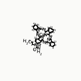 C=CCNC(N)=O.c1ccc2c(c1)C1=NC/2=N\c2c3ccccc3c3[n]2[Cu][n]2/c(c4ccccc4/c2=N/C2=N\C(=N/3)c3ccccc32)=N\1